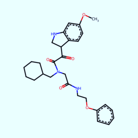 COc1ccc2c(c1)NCC2C(=O)C(=O)N(CC(=O)NCCOc1ccccc1)CC1CCCCC1